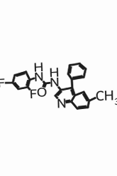 Cc1ccc2ncc(NC(=O)Nc3ccc(F)cc3F)c(-c3ccccc3)c2c1